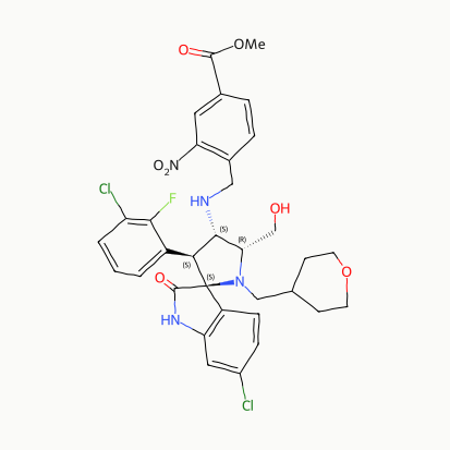 COC(=O)c1ccc(CN[C@@H]2[C@H](CO)N(CC3CCOCC3)[C@@]3(C(=O)Nc4cc(Cl)ccc43)[C@H]2c2cccc(Cl)c2F)c([N+](=O)[O-])c1